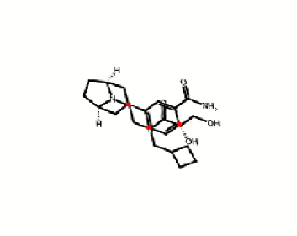 NC(=O)c1cccc([C@H]2C[C@H]3CC[C@@H](C2)N3CCN(CC2CCC2)C(=O)[C@@H](O)CO)c1